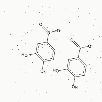 O=[N+]([O-])c1ccc(O)c(O)c1.O=[N+]([O-])c1ccc(O)c(O)c1